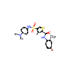 CCN(CC)c1ccc(NS(=O)(=O)c2csc(C(=O)Nc3ccc(Br)cc3C(=O)O)c2C)cc1